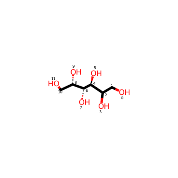 OCC(O)[C@H](O)[C@H](O)[C@@H](O)CO